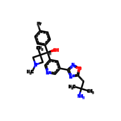 CC(C)c1ccc([C@](O)(c2cncc(-c3noc(CC(C)(C)N)n3)c2)C2(C)CN(C)C2)cc1